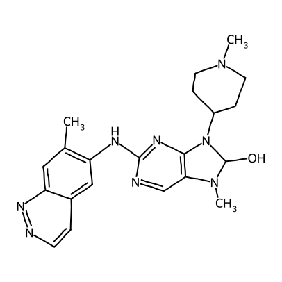 Cc1cc2nnccc2cc1Nc1ncc2c(n1)N(C1CCN(C)CC1)C(O)N2C